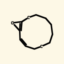 C1=C\C2=C(CCCCCCCC/1)O2